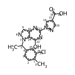 Cc1ccc(C(C)n2ncc3nc(-n4cc(C(=O)O)cn4)nc(O)c32)cc1Cl